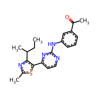 CCC(C)c1nc(C)sc1-c1ccnc(Nc2cccc(C(C)=O)c2)n1